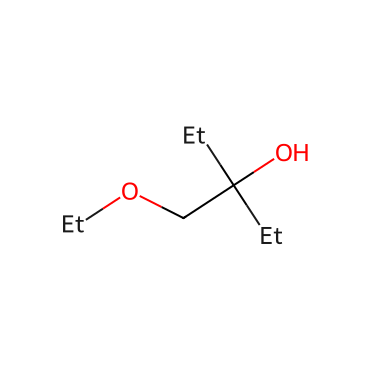 CCOCC(O)(CC)CC